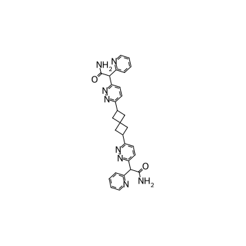 NC(=O)C(c1ccccn1)c1ccc(C2CC3(C2)CC(c2ccc(C(C(N)=O)c4ccccn4)nn2)C3)nn1